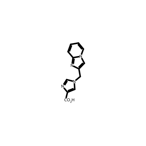 O=C(O)c1cn(Cc2cn3ccccc3n2)cn1